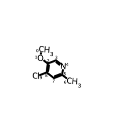 COc1cnc(C)cc1Cl